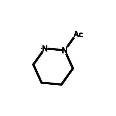 CC(=O)N1CCCC[N]1